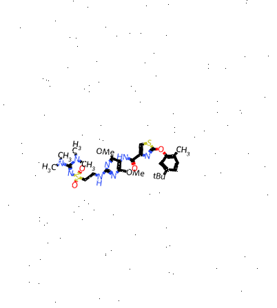 COc1nc(NCCS(=O)(=O)N=C(N(C)C)N(C)C)nc(OC)c1NC(=O)c1csc(Oc2cc(C(C)(C)C)ccc2C)n1